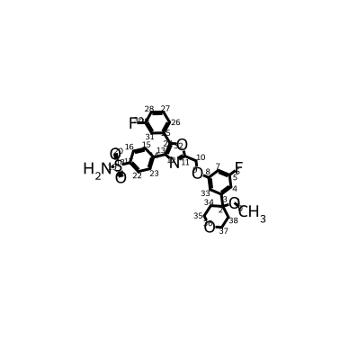 COC1(c2cc(F)cc(OCc3nc(-c4ccc(S(N)(=O)=O)cc4)c(-c4cccc(F)c4)o3)c2)CCOCC1